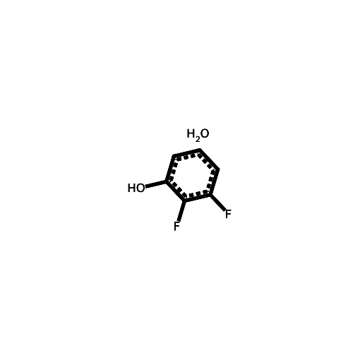 O.Oc1cccc(F)c1F